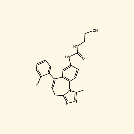 Cc1nnc2n1-c1ccc(NC(=O)NCCO)cc1C(c1ccccc1F)=NC2